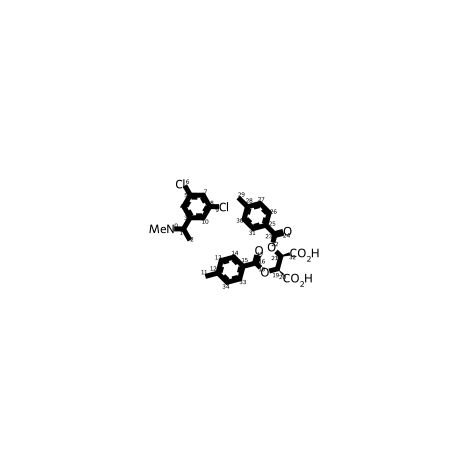 CNC(C)c1cc(Cl)cc(Cl)c1.Cc1ccc(C(=O)O[C@@H](C(=O)O)[C@@H](OC(=O)c2ccc(C)cc2)C(=O)O)cc1